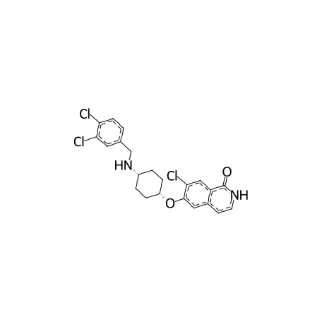 O=c1[nH]ccc2cc(O[C@H]3CC[C@@H](NCc4ccc(Cl)c(Cl)c4)CC3)c(Cl)cc12